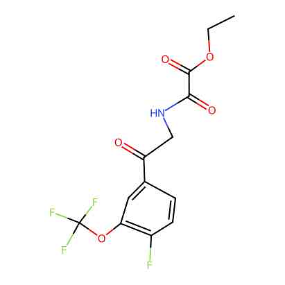 CCOC(=O)C(=O)NCC(=O)c1ccc(F)c(OC(F)(F)F)c1